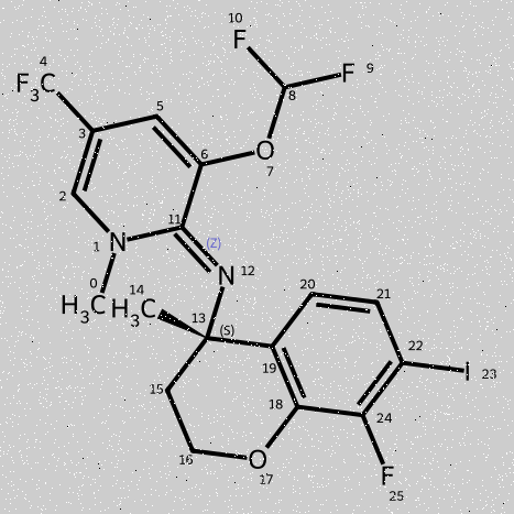 Cn1cc(C(F)(F)F)cc(OC(F)F)/c1=N/[C@@]1(C)CCOc2c1ccc(I)c2F